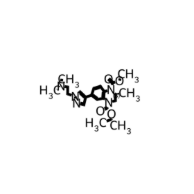 COC(=O)N1c2ccc(-c3cnn(CCN(C)C)c3)cc2N(C(=O)OC(C)C)C[C@@H]1C